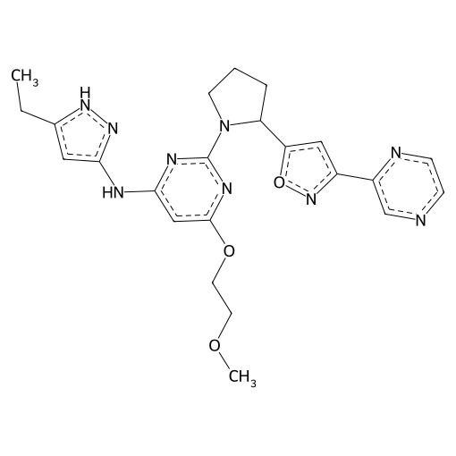 CCc1cc(Nc2cc(OCCOC)nc(N3CCCC3c3cc(-c4cnccn4)no3)n2)n[nH]1